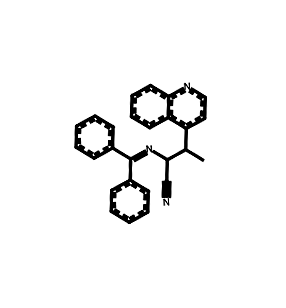 CC(c1ccnc2ccccc12)C(C#N)N=C(c1ccccc1)c1ccccc1